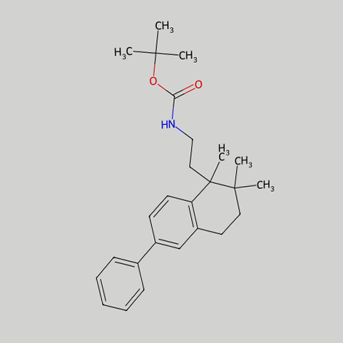 CC(C)(C)OC(=O)NCCC1(C)c2ccc(-c3ccccc3)cc2CCC1(C)C